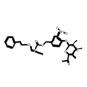 CCN(COCCc1ccccc1)C(=O)OCc1ccc(OC2OC(C(C)=O)C(C)[C@H](C)[C@@H]2C)c([N+](=O)[O-])c1